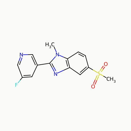 Cn1c(-c2cncc(F)c2)nc2cc(S(C)(=O)=O)ccc21